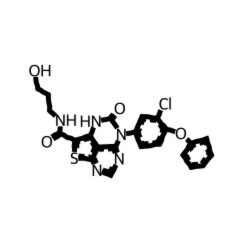 O=C(NCCCO)c1sc2ncnc3c2c1NC(=O)N3c1ccc(Oc2ccccc2)c(Cl)c1